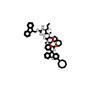 CC[C@H](C)[C@H](NC(=O)OCC1c2ccccc2-c2ccccc21)C(=O)N(C)[C@H](C(=O)N(C)[C@@H](CC(=O)OC(c1ccccc1)(c1ccc(C2CCCCCCC2)cc1)c1ccccc1Cl)C(=O)N1CCCCC1)C1CCCC1